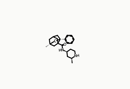 C[C@H]1C[C@@H](NC(=O)C23CC4C[C@](C)(C2)C[C@@]3(c2ccccc2)C4)CCN1